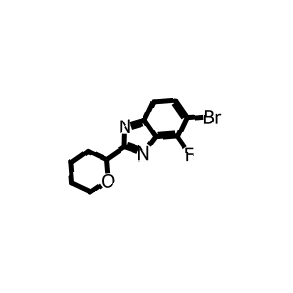 FC1=C2N=C(C3CCCCO3)N=C2CC=C1Br